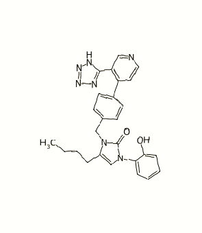 CCCCc1cn(-c2ccccc2O)c(=O)n1Cc1ccc(-c2ccncc2-c2nnn[nH]2)cc1